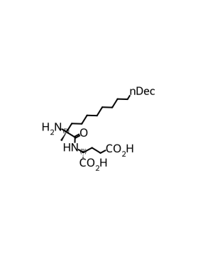 CCCCCCCCCCCCCCCCCC[C@@](C)(N)C(=O)N[C@H](CCC(=O)O)C(=O)O